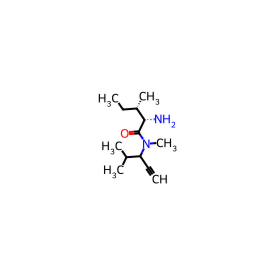 C#CC(C(C)C)N(C)C(=O)[C@@H](N)[C@@H](C)CC